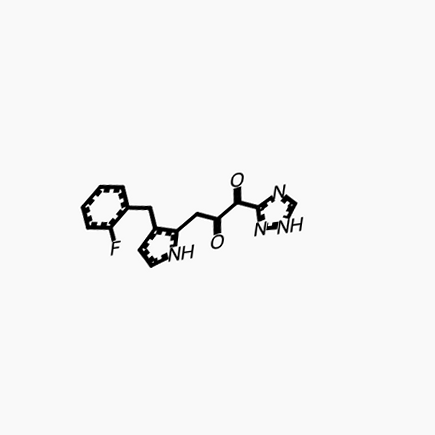 O=C(Cc1[nH]ccc1Cc1ccccc1F)C(=O)c1nc[nH]n1